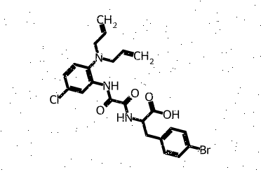 C=CCN(CC=C)c1ccc(Cl)cc1NC(=O)C(=O)NC(Cc1ccc(Br)cc1)C(=O)O